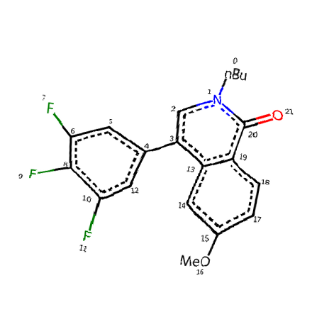 CCCCn1cc(-c2cc(F)c(F)c(F)c2)c2cc(OC)ccc2c1=O